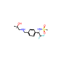 C[C@@H](O)CNCc1ccc([C@H](NS(C)(=O)=O)C(F)F)cc1